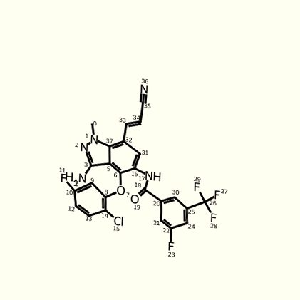 Cn1nc(N)c2c(Oc3cc(F)ccc3Cl)c(NC(=O)c3cc(F)cc(C(F)(F)F)c3)cc(/C=C/C#N)c21